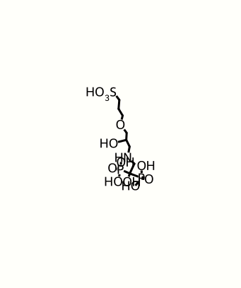 O=P(O)(O)C(O)(CNCC(O)COCCCS(=O)(=O)O)P(=O)(O)O